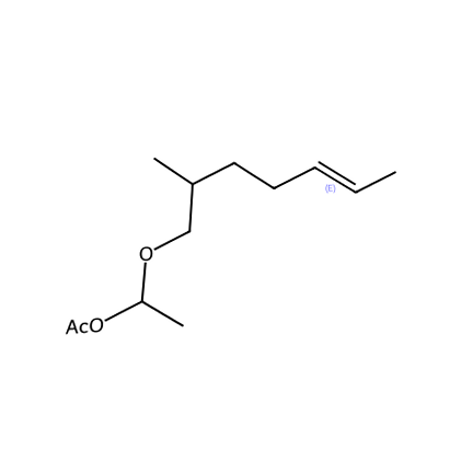 C/C=C/CCC(C)COC(C)OC(C)=O